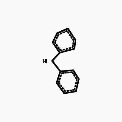 I.c1ccc(Cc2ccccc2)cc1